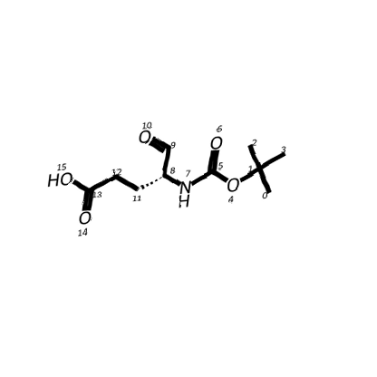 CC(C)(C)OC(=O)N[C@@H](C=O)CCC(=O)O